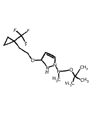 CN(OC(C)(C)C)N1C=CC(OCCC2(C(F)(F)F)CC2)N1